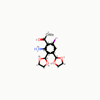 COC(=O)c1c(I)cc(C2OCCO2)c(C2OCCO2)c1N